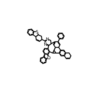 C1=Cc2cc3c(cc2CC1)C1C=C(c2ccccc2)C2=CC1C1C3C1c1c(ccc3c1oc1ccccc13)C1=NC(C3C=CC4c5ccccc5SC4C3)=NCC21